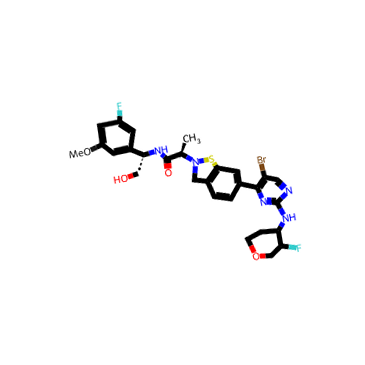 COc1cc(F)cc([C@@H](CO)NC(=O)[C@@H](C)N2Cc3ccc(-c4nc(NC5CCOCC5F)ncc4Br)cc3S2)c1